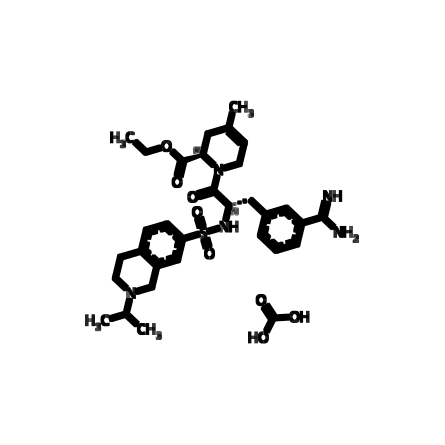 CCOC(=O)[C@H]1CC(C)=CCN1C(=O)[C@H](Cc1cccc(C(=N)N)c1)NS(=O)(=O)c1ccc2c(c1)CN(C(C)C)CC2.O=C(O)O